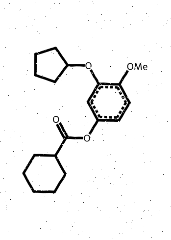 COc1ccc(OC(=O)C2CCCCC2)cc1OC1CCCC1